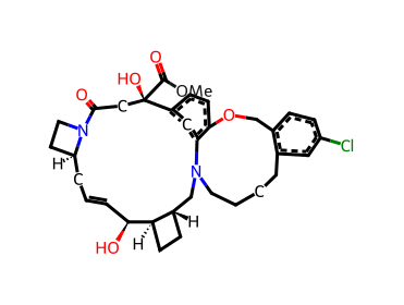 COC(=O)[C@@]1(O)CC(=O)N2CC[C@@H]2C/C=C/[C@H](O)[C@@H]2CC[C@H]2CN2CCCCc3cc(Cl)ccc3COc3ccc1cc32